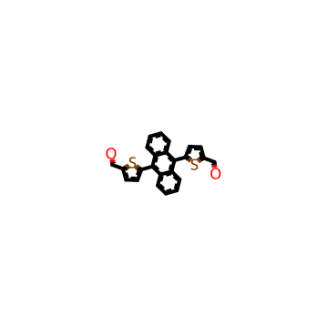 O=Cc1ccc(-c2c3ccccc3c(-c3ccc(C=O)s3)c3ccccc23)s1